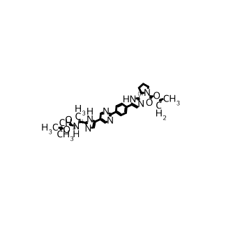 C=C(C)OC(=O)N1CCC[C@H]1c1ncc(-c2ccc(-c3ncc(-c4cnc([C@H](C)NC(=O)OC(C)(C)C)[nH]4)cn3)cc2)[nH]1